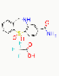 NC(=O)c1ccc2c(c1)NCc1ccccc1S2(=O)=O.O=C(O)C(F)(F)F